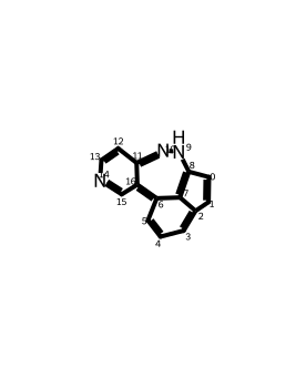 C1=Cc2cccc3c2=C1NN=c1ccncc1=3